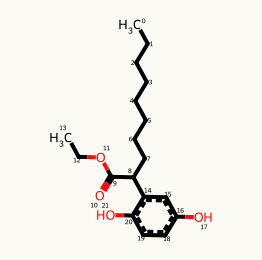 CCCCCCCCC(C(=O)OCC)c1cc(O)ccc1O